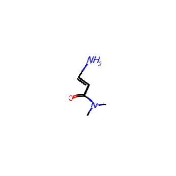 CN(C)C(=O)C=CN